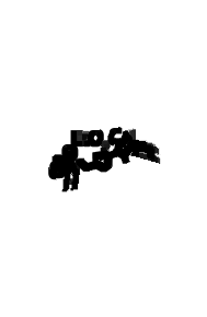 CCOC(=O)c1c(-c2ccc(CCNS(C)(=O)=O)cc2)c(C)c(CC)n1C